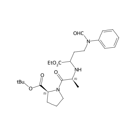 CCOC(=O)C(CCN(C=O)c1ccccc1)N[C@@H](C)C(=O)N1CCC[C@H]1C(=O)OC(C)(C)C